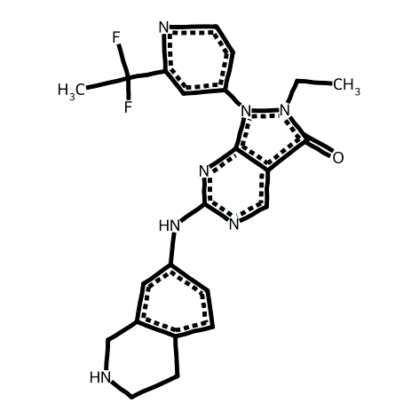 CCn1c(=O)c2cnc(Nc3ccc4c(c3)CNCC4)nc2n1-c1ccnc(C(C)(F)F)c1